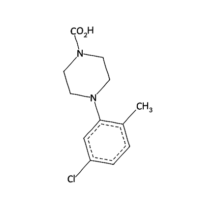 Cc1ccc(Cl)cc1N1CCN(C(=O)O)CC1